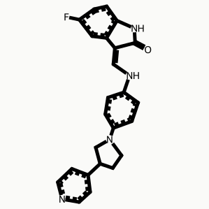 O=C1Nc2ccc(F)cc2C1=CNc1ccc(N2CCC(c3ccncc3)C2)cc1